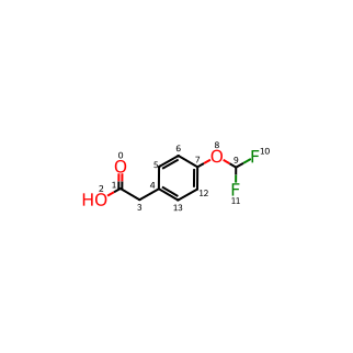 O=C(O)Cc1ccc(OC(F)F)cc1